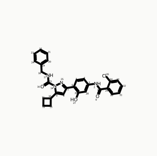 O=C(Nc1ccc(-c2cc(C3CCC3)n(C(=O)NCc3ccccc3)n2)c(O)c1)c1ccccc1Cl